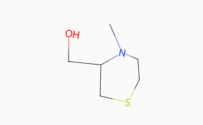 CN1CCSCC1CO